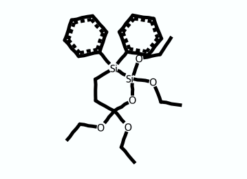 CCOC1(OCC)CC[Si](c2ccccc2)(c2ccccc2)[Si](OCC)(OCC)O1